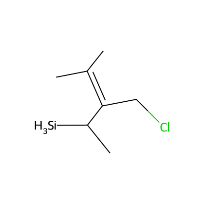 CC(C)=C(CCl)C(C)[SiH3]